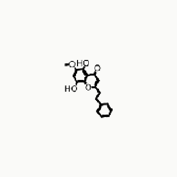 COc1cc(O)c2oc(CCc3ccccc3)cc(=O)c2c1O